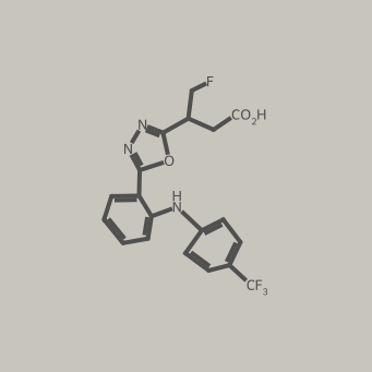 O=C(O)CC(CF)c1nnc(-c2ccccc2Nc2ccc(C(F)(F)F)cc2)o1